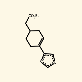 CCOC(=O)CC1CC=C(c2cncs2)CC1